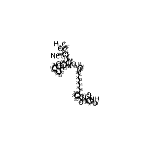 C=C(F)C(=O)N1CCN(c2nc(OC[C@@H]3CCCN3CCCCCCCCc3cccc4c3CN(C3CCC(=O)NC3=O)C4=O)nc3c2CCN(c2cccc4cccc(Cl)c24)C3)C[C@@H]1CC#N